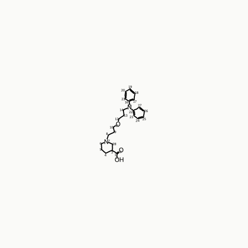 O=C(O)C1CCCN(CCCOCCCN(c2ccccc2)c2ccccc2)C1